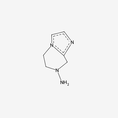 NN1CCn2ccnc2C1